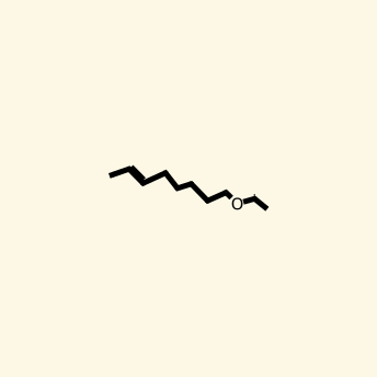 C[CH]OCCCCC/C=C/C